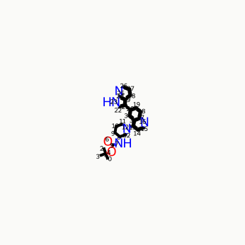 CC(C)(C)OC(=O)NC1CCCN(c2ccnc3ccc(-c4c[nH]c5ncccc45)cc23)C1